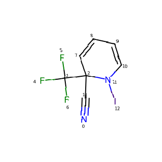 N#CC1(C(F)(F)F)C=CC=CN1I